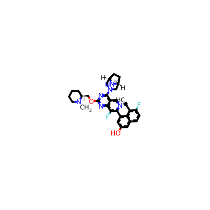 C#Cc1c(F)ccc2cc(O)cc(-c3ncc4c(N5C[C@H]6CC[C@@H](C5)N6)nc(OC[C@@H]5CCCCN5C)nc4c3F)c12